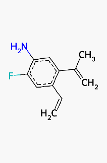 C=Cc1cc(F)c(N)cc1C(=C)C